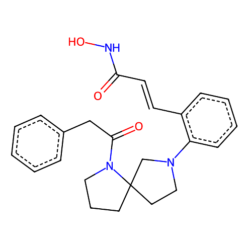 O=C(/C=C/c1ccccc1N1CCC2(CCCN2C(=O)Cc2ccccc2)C1)NO